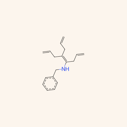 C=CCC(CC=C)=C(CC=C)NCc1ccccc1